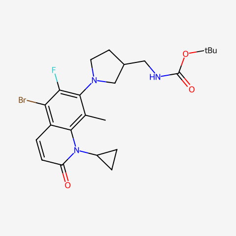 Cc1c(N2CCC(CNC(=O)OC(C)(C)C)C2)c(F)c(Br)c2ccc(=O)n(C3CC3)c12